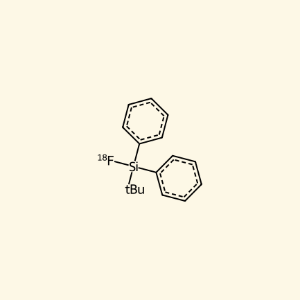 CC(C)(C)[Si]([18F])(c1ccccc1)c1ccccc1